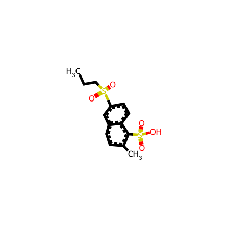 CCCS(=O)(=O)c1ccc2c(S(=O)(=O)O)c(C)ccc2c1